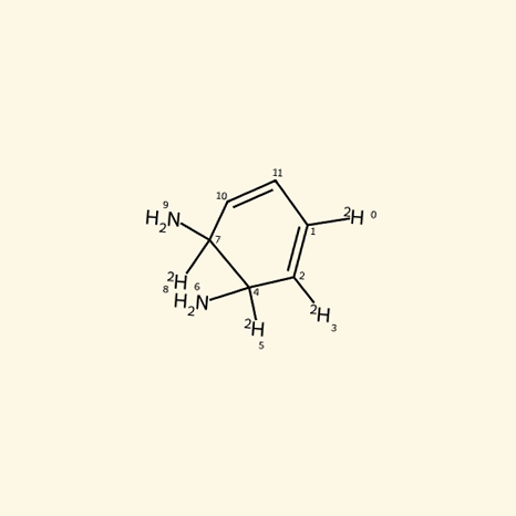 [2H]C1=C([2H])C([2H])(N)C([2H])(N)C=C1